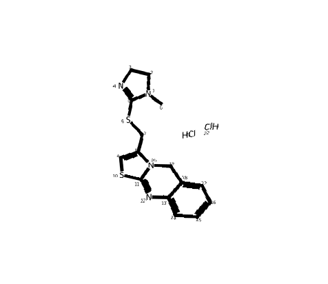 CN1CCN=C1SCC1=CSC2=Nc3ccccc3CN12.Cl.Cl